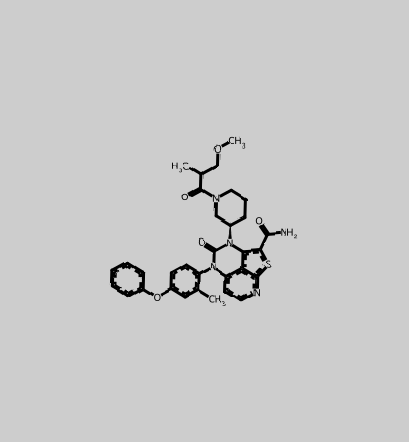 COCC(C)C(=O)N1CCC[C@@H](N2C(=O)N(c3ccc(Oc4ccccc4)cc3C)c3ccnc4sc(C(N)=O)c2c34)C1